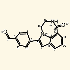 O=Cc1ccc(-c2cc3cccc4c3n2CCNC4=O)cc1